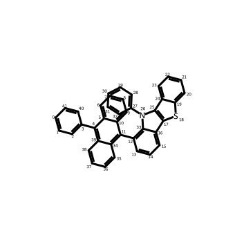 c1ccc(-c2c3ccccc3c(-c3cccc4c5sc6ccccc6c5n(-c5ccccc5)c34)c3ccccc23)cc1